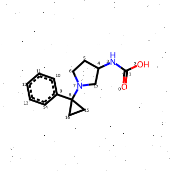 O=C(O)NC1CCN(C2(c3ccccc3)CC2)C1